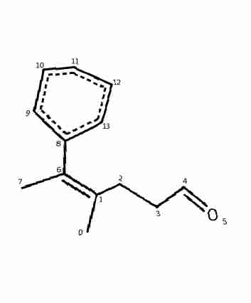 C/C(CCC=O)=C(\C)c1ccccc1